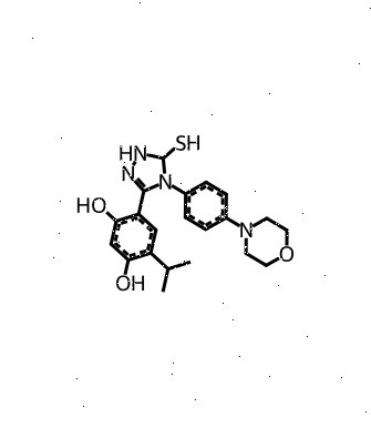 CC(C)c1cc(C2=NNC(S)N2c2ccc(N3CCOCC3)cc2)c(O)cc1O